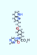 Cc1nccc(C(=O)NC(Cc2ccc(OCCCc3ccc4c(n3)NCCC4)cc2)C(=O)O)n1